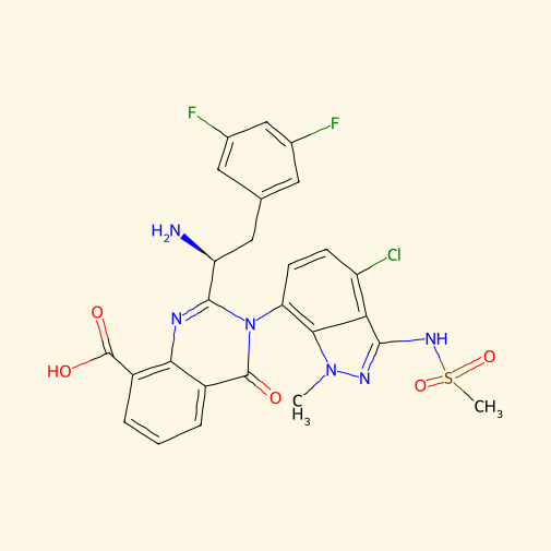 Cn1nc(NS(C)(=O)=O)c2c(Cl)ccc(-n3c([C@@H](N)Cc4cc(F)cc(F)c4)nc4c(C(=O)O)cccc4c3=O)c21